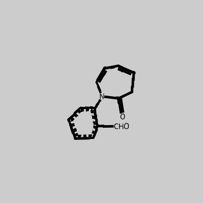 O=Cc1ccccc1N1C=CC=CCC1=O